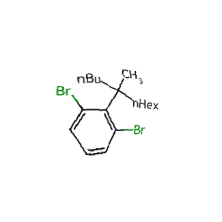 CCCCCCC(C)(CCCC)c1c(Br)cccc1Br